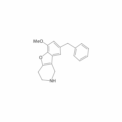 COc1cc(Cc2ccccc2)cc2c3c(oc12)CCNC3